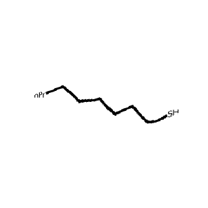 CCCCCCCCCS